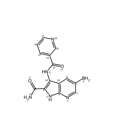 Bc1cnc2[nH]c(C(N)=O)c(NC(=O)c3cccnc3)c2c1